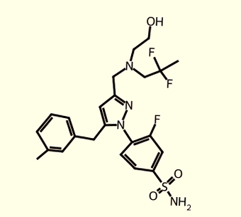 Cc1cccc(Cc2cc(CN(CCO)CC(C)(F)F)nn2-c2ccc(S(N)(=O)=O)cc2F)c1